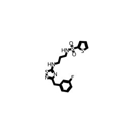 O=S(=O)(NCCCNc1nc(Cc2cccc(F)c2)ns1)c1cccs1